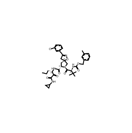 CCC[C@H](NC(=O)[C@@H]1C[C@]2(CC(c3cccc(Cl)c3)=NO2)CN1C(=O)[C@@H](NC(=O)OCc1cccc(C)c1)C(C)(C)C)C(=O)C(=O)NC1CC1